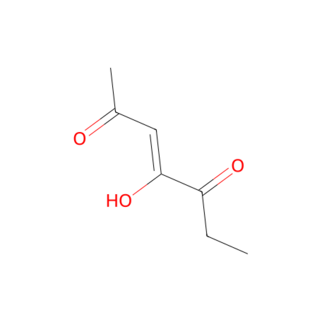 CCC(=O)C(O)=CC(C)=O